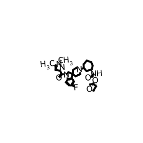 Cc1cc(C(=O)N2CC3(CCN(C4CCCCC(NC(=O)O[C@@H]5CCOC5)C4)CC3)c3cc(F)ccc32)nn1C